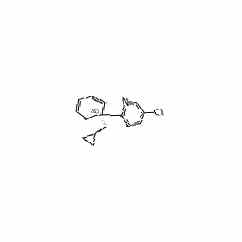 Clc1ccc([C@]2(CC3CC3)C=CC=CC2)nc1